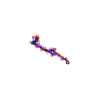 CC[C@@]1(O)C(=O)OCc2c1cc1n(c2=O)Cc2c-1nc1cc(F)c(C)c3c1c2[C@@H](NC(=O)COCNC(=O)CNC(=O)OCc1ccc(NC(=O)C(C=NC(=O)[C@@H](NC(=O)CCOCCOCCOCCOCCNC(=O)COC2/C=C\CCCCC2)C(C)C)CCCNC(N)=O)cc1)CC3